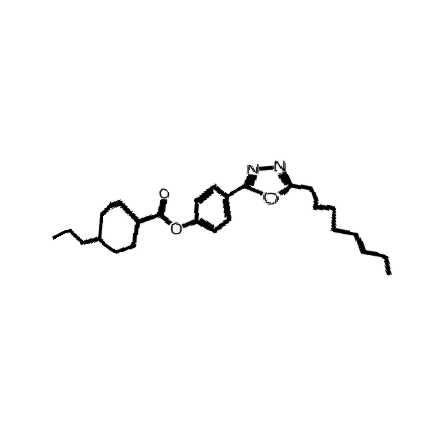 CCCCCCCCc1nnc(-c2ccc(OC(=O)C3CCC(CCC)CC3)cc2)o1